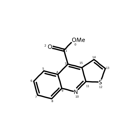 COC(=O)c1c2ccccc2nc2sccc12